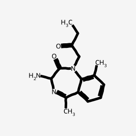 CCC(=O)CN1C(=O)C(N)N=C(C)c2cccc(C)c21